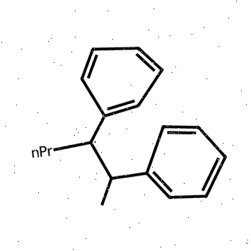 CCC[C](c1ccccc1)C(C)c1ccccc1